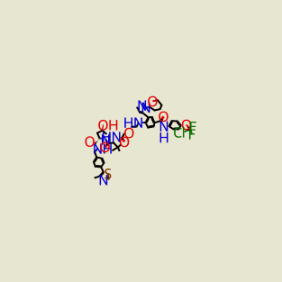 Cc1ncsc1-c1ccc(CNC(=O)[C@@H]2C[C@@H](O)CN2C(=O)[C@@H](NC(=O)COCCNc2ccc(C(=O)Nc3ccc(OC(F)(F)Cl)cc3)cc2-c2ccnn2C2CCCCO2)C(C)(C)C)cc1